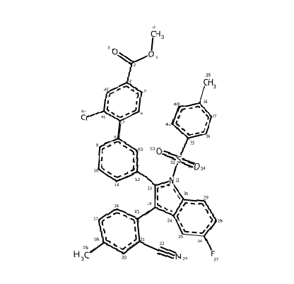 COC(=O)c1ccc(-c2cccc(-c3c(-c4ccc(C)cc4C#N)c4cc(F)ccc4n3S(=O)(=O)c3ccc(C)cc3)c2)c(Cl)c1